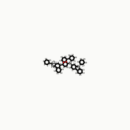 c1ccc(-c2nc3c(cc(-c4ccc(N(c5ccc6c7ccccc7n(-c7ccccc7)c6c5)c5ccccc5-c5ccccc5)cc4)c4ccccc43)o2)cc1